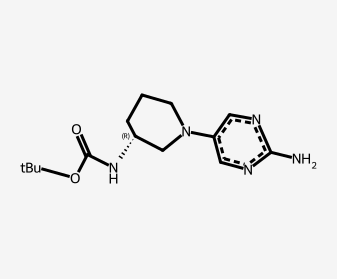 CC(C)(C)OC(=O)N[C@@H]1CCCN(c2cnc(N)nc2)C1